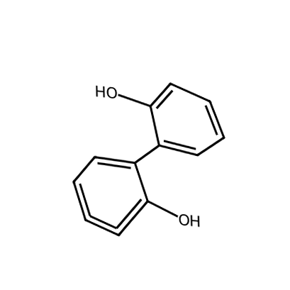 OC1=C=C=CC=C1c1ccccc1O